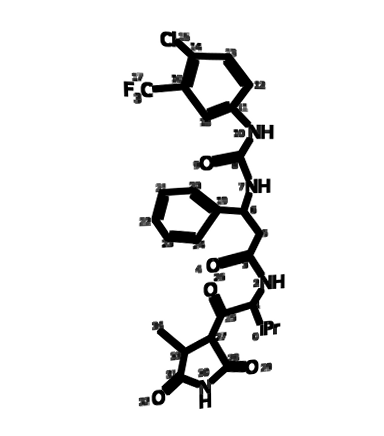 CC(C)C(NC(=O)CC(NC(=O)Nc1ccc(Cl)c(C(F)(F)F)c1)c1ccccc1)C(=O)C1C(=O)NC(=O)C1C